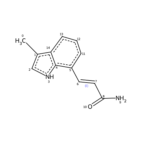 Cc1c[nH]c2c(/C=C/C(N)=O)cccc12